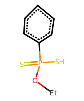 CCOP(=S)(S)c1ccccc1